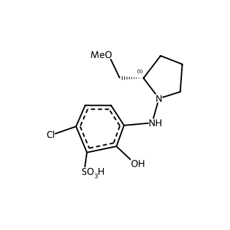 COC[C@@H]1CCCN1Nc1ccc(Cl)c(S(=O)(=O)O)c1O